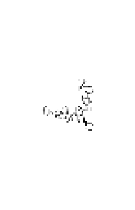 NC(=O)C1(CCN2CCOCC2)C=CC=C(C(=O)Nc2ccc(N3CCCCC3)cc2C(=O)Nc2cnc(-c3cccc(C(F)(F)F)c3)nc2)C1